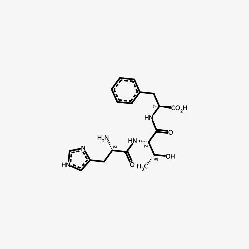 C[C@@H](O)[C@H](NC(=O)[C@@H](N)Cc1c[nH]cn1)C(=O)N[C@@H](Cc1ccccc1)C(=O)O